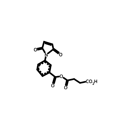 O=C(O)CCC(=O)OC(=O)c1cccc(N2C(=O)C=CC2=O)c1